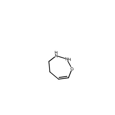 C1=CONNCC1